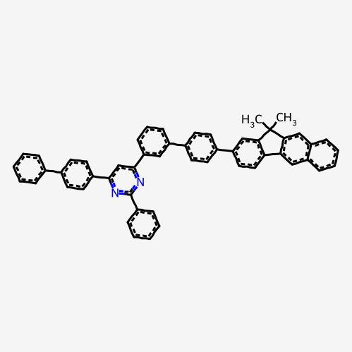 CC1(C)c2cc(-c3ccc(-c4cccc(-c5cc(-c6ccc(-c7ccccc7)cc6)nc(-c6ccccc6)n5)c4)cc3)ccc2-c2cc3ccccc3cc21